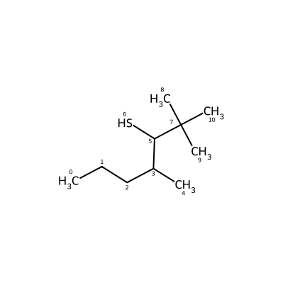 CCCC(C)C(S)C(C)(C)C